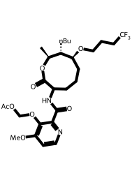 CCCC[C@H]1[C@H](C)OC(=O)C(NC(=O)c2nccc(OC)c2OCOC(C)=O)CCC[C@@H]1OCCCC(F)(F)F